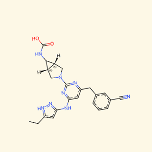 CCc1cc(Nc2cc(Cc3cccc(C#N)c3)nc(N3C[C@@H]4C(NC(=O)O)[C@@H]4C3)n2)n[nH]1